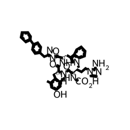 Cc1cc(O)cc(C)c1C[C@H](NC(=O)[C@@H](CCCn1ccnc1N)NC(=O)O)C(=O)N[C@@H](Cc1cn(C)c2ccccc12)c1nc(Cc2ccc(-c3ccccc3)cc2)no1